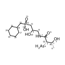 C[C@@H](O)[C@H]([AsH2])C(=O)NCC(O)CP(=O)(O)CC1CCCCC1